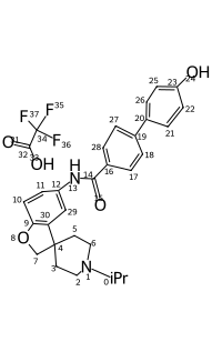 CC(C)N1CCC2(CC1)COc1ccc(NC(=O)c3ccc(-c4ccc(O)cc4)cc3)cc12.O=C(O)C(F)(F)F